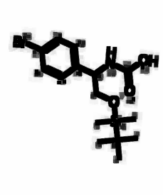 CC(C)(C)[Si](C)(C)OCC(NC(=O)O)c1ccc(Br)cc1